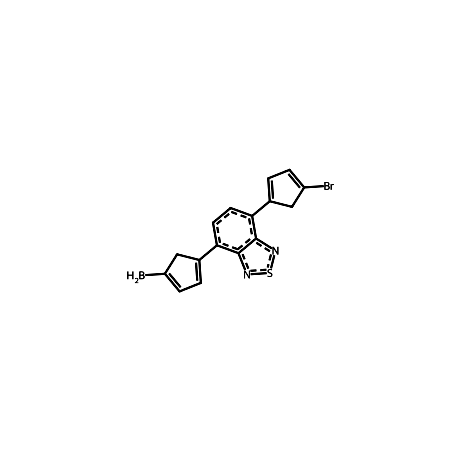 BC1=CC=C(c2ccc(C3=CC=C(Br)C3)c3nsnc23)C1